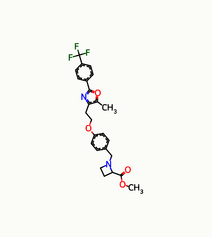 COC(=O)C1CCN1Cc1ccc(OCCc2nc(-c3ccc(C(F)(F)F)cc3)oc2C)cc1